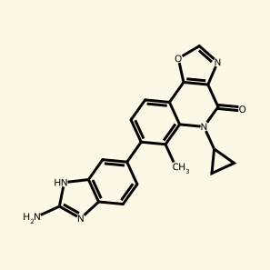 Cc1c(-c2ccc3nc(N)[nH]c3c2)ccc2c3ocnc3c(=O)n(C3CC3)c12